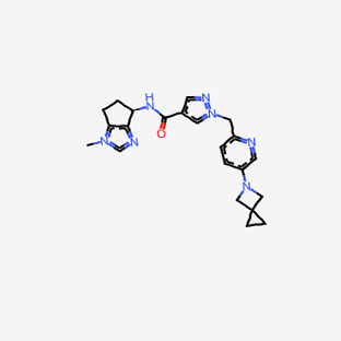 Cn1cnc2c1CC[C@H]2NC(=O)c1cnn(Cc2ccc(N3CC4(CC4)C3)cn2)c1